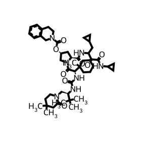 CC1(C)CCN(C[C@@H](NC(=O)N[C@H](C(=O)N2C[C@H](OC(=O)N3CCc4ccccc4C3)C[C@H]2C(=O)NC(CC2CC2)C(=O)C(=O)NC2CC2)C2(C)CCCCC2)C(C)(C)C)C(=O)C1